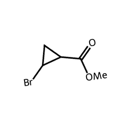 COC(=O)C1CC1Br